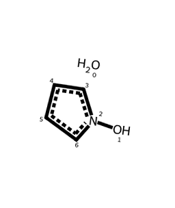 O.On1cccc1